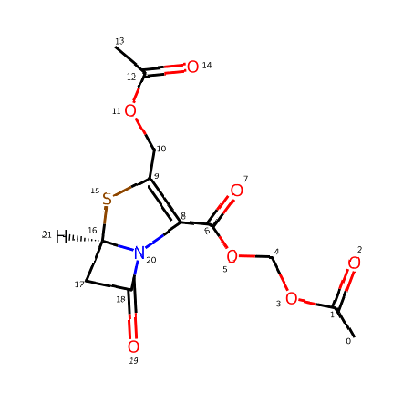 CC(=O)OCOC(=O)C1=C(COC(C)=O)S[C@@H]2CC(=O)N12